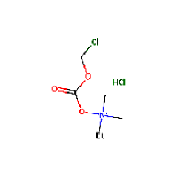 CC[N+](C)(C)OC(=O)OCCl.Cl